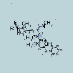 C=N/C=C(C#Cc1cnn(C(F)F)c1C)\C=C(/C)C(=O)N(C)C[C@@H](O)Cc1ccccc1